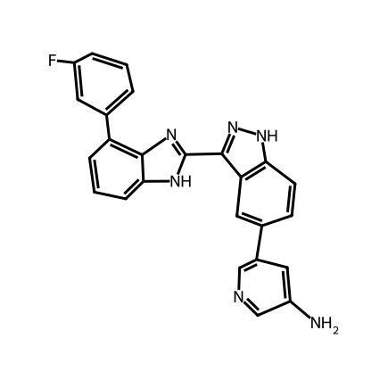 Nc1cncc(-c2ccc3[nH]nc(-c4nc5c(-c6cccc(F)c6)cccc5[nH]4)c3c2)c1